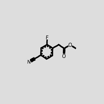 COC(=O)Cc1ccc(C#N)cc1F